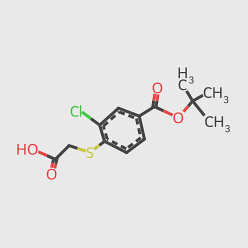 CC(C)(C)OC(=O)c1ccc(SCC(=O)O)c(Cl)c1